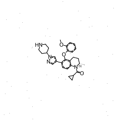 COc1ccccc1Oc1c(-c2cnn(C3CCNCC3)c2)ccc2c1CC[C@H](C)N2C(=O)C1CC1